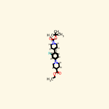 CCOC(=O)C1CCN(c2ccc(C3=CCN(C(=O)OC(C)(C)C)CC3)c(F)c2)CC1